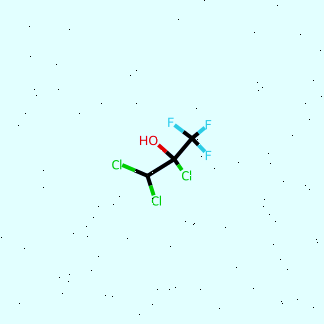 OC(Cl)(C(Cl)Cl)C(F)(F)F